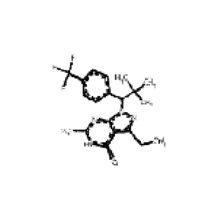 CCc1nn(C(c2ccc(C(F)(F)F)cc2)C(C)(C)C)c2nc(C)[nH]c(=O)c12